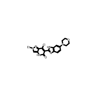 CCn1cc2[nH]c(=O)c(-c3nc4ccc(N5CCOCC5)cc4[nH]3)c(Cl)c2n1